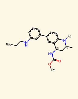 CC(=O)N1c2ccc(-c3cccc(NCCC(C)(C)C)c3)cc2[C@H](NC(=O)OC(C)C)C[C@@H]1C